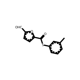 Cc1cccc(SC(=O)c2ccc(C=O)o2)c1